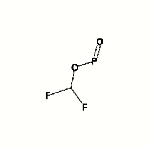 O=POC(F)F